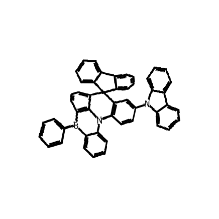 c1ccc(B2c3ccccc3N3c4ccc(-n5c6ccccc6c6ccccc65)cc4C4(c5ccccc5-c5ccccc54)c4cccc2c43)cc1